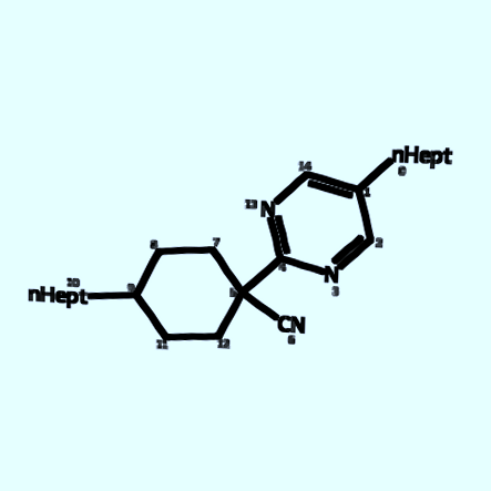 CCCCCCCc1cnc(C2(C#N)CCC(CCCCCCC)CC2)nc1